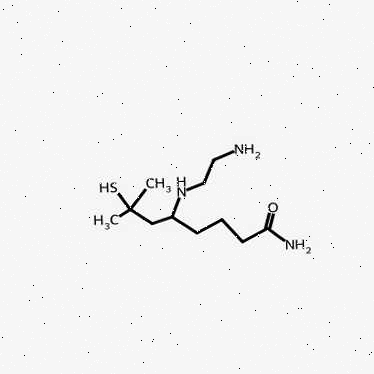 CC(C)(S)CC(CCCC(N)=O)NCCN